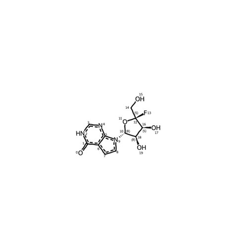 O=c1[nH]cnc2c1ccn2[C@@H]1O[C@](F)(CO)[C@@H](O)[C@H]1O